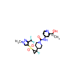 C[C@@H](O)c1cc(NC(=O)N2CCC([C@]3(F)CC3S(=O)(=O)c3cn(C)nc3C(F)F)CC2)ccn1